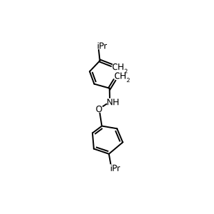 C=C(/C=C\C(=C)C(C)C)NOc1ccc(C(C)C)cc1